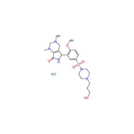 CCCOc1ccc(S(=O)(=O)N2CCN(CCCO)CC2)cc1C1NC(=O)C2=C1CN(CCC)CN2C.Cl